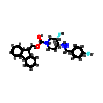 O=C(OCC1c2ccccc2-c2ccccc21)N1CC[C@@H](NCc2ccc(F)cc2)[C@@H](F)C1